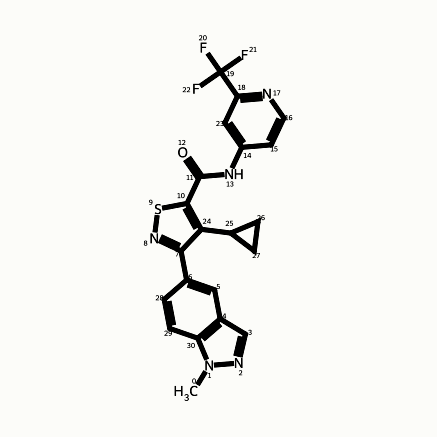 Cn1ncc2cc(-c3nsc(C(=O)Nc4ccnc(C(F)(F)F)c4)c3C3CC3)ccc21